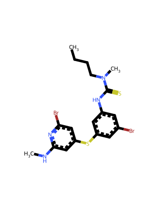 CCCCN(C)C(=S)Nc1cc(Br)cc(Sc2cc(Br)nc(NC)c2)c1